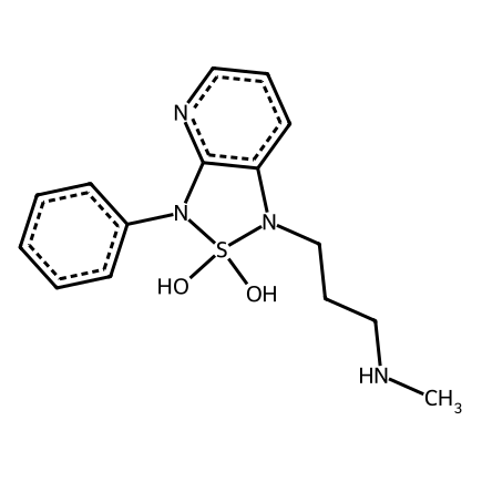 CNCCCN1c2cccnc2N(c2ccccc2)S1(O)O